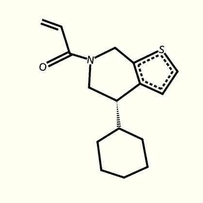 C=CC(=O)N1Cc2sccc2[C@H](C2CCCCC2)C1